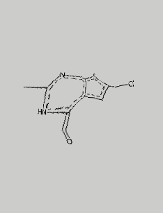 Cc1nc2sc(Cl)cc2c(=O)[nH]1